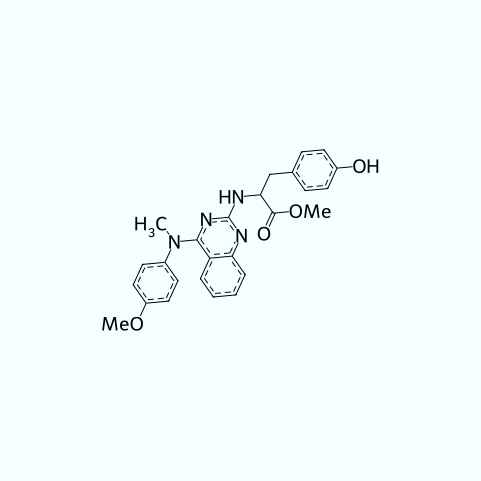 COC(=O)C(Cc1ccc(O)cc1)Nc1nc(N(C)c2ccc(OC)cc2)c2ccccc2n1